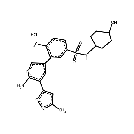 Cc1cc(-c2cc(-c3cc(S(=O)(=O)NC4CCC(O)CC4)ccc3C)cnc2N)on1.Cl